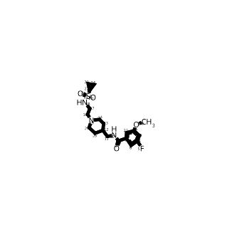 COc1cc(F)cc(C(=O)NCC2CCN(CCNS(=O)(=O)C3CC3)CC2)c1